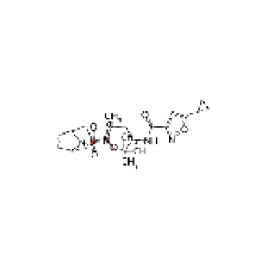 C[C@H]1C[C@@H](NC(=O)c2cc(C3CC3)on2)CCN1S(=O)(=O)N1C2CCC1CN(C(=O)OC(C)(C)C)C2